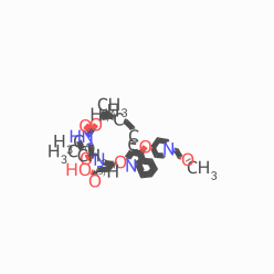 COCCN1CCC(Oc2c3c(nc4ccccc24)O[C@@H]2C[C@@H](C(=O)O)N(C2)C(=O)[C@H](C(C)(C)C)NC(=O)O[C@@H]2C(C)[C@H]2CCCCC3)CC1